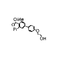 COC(=O)c1ccc(-c2ccc(OCCO)cc2)cc1C(C)C